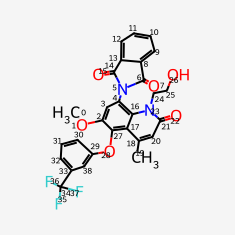 COc1cc(N2C(=O)c3ccccc3C2=O)c2c(c(C)cc(=O)n2CCO)c1Oc1cccc(C(F)(F)F)c1